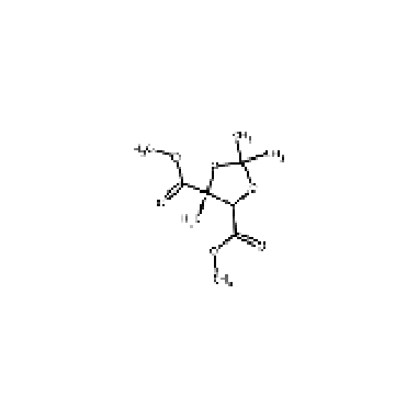 COC(=O)[C@@H]1OC(C)(C)O[C@@]1(C)C(=O)OC